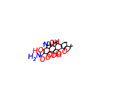 C[C@@H]1c2ccc3c(c2C(=O)C2=C(O)[C@@]4(O)C(=O)C(C(N)=O)=C(O)[C@H](N(C)C)[C@H]4[C@H](O)[C@H]21)OCCC3(C)C